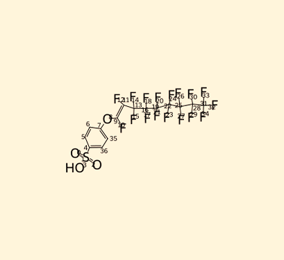 O=S(=O)(O)c1ccc(OC(F)=C(F)C(F)(F)C(F)(F)C(F)(F)C(F)(F)C(F)(F)C(F)(F)C(F)(F)F)cc1